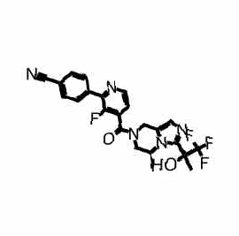 C[C@H]1CN(C(=O)c2ccnc(-c3ccc(C#N)cc3)c2F)Cc2cnc(C(C)(O)C(F)(F)F)n21